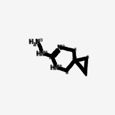 NNC1=NCC2(CC2)CN1